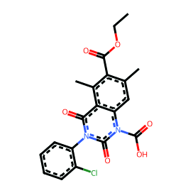 CCOC(=O)c1c(C)cc2c(c1C)c(=O)n(-c1ccccc1Cl)c(=O)n2C(=O)O